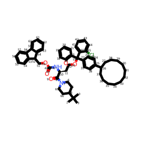 CC(C)(C)C1CCN(C(=O)[C@H](CC(=O)OC(c2ccccc2)(c2ccc(C3CCCCCCCCCCC3)cc2)c2ccccc2Cl)NC(=O)OCC2c3ccccc3-c3ccccc32)CC1